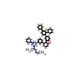 C/C=C\C=C(/C)c1nc(-c2cccc(C3CC=Cc4oc5ccc(-c6ccc(-c7ccccc7)c7c6C6C=CC=CC6S7)cc5c43)c2)nc(C2C=CC=CC2)n1